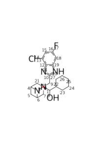 OC(CN1C2CC1CN(Cc1nc3c(Cl)cc(F)cc3[nH]1)C2)C1CCCCC1